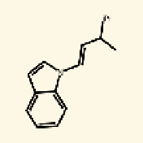 CC(C)C(C)/C=C/n1ccc2ccccc21